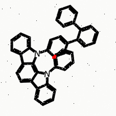 c1ccc(-c2ccccc2-c2ccc(-n3c4ccccc4c4ccc5c6ccccc6n(-c6ccccc6)c5c43)cc2)cc1